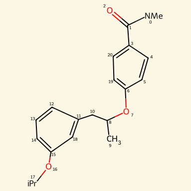 CNC(=O)c1ccc(OC(C)Cc2cccc(OC(C)C)c2)cc1